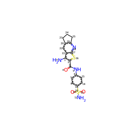 Nc1c(C(=O)Nc2ccc(S(N)(=O)=O)cc2)sc2nc3c(cc12)CCC3